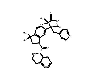 CC1(C)CN(C(=O)[C@H]2NCCc3ccccc32)c2cc([N+]3(Cc4ccncc4)C(=O)NC(=O)C3(C)C)ccc21